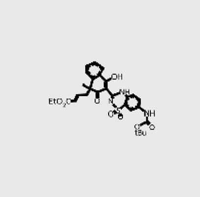 CCOC(=O)C=CCC1(C)C(=O)C(C2=NS(=O)(=O)c3cc(NC(=O)OC(C)(C)C)ccc3N2)=C(O)c2ccccc21